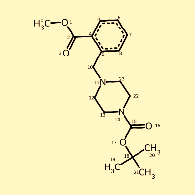 COC(=O)c1ccccc1CN1CCN(C(=O)OC(C)(C)C)CC1